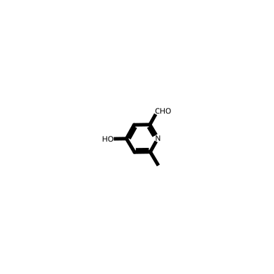 Cc1cc(O)cc(C=O)n1